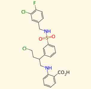 O=C(O)c1ccccc1NCC(CCCl)c1cccc(S(=O)(=O)NCc2ccc(F)c(Cl)c2)c1